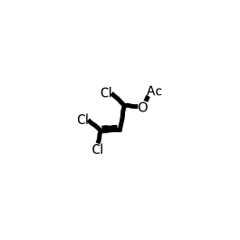 CC(=O)OC(Cl)C=C(Cl)Cl